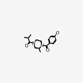 CC(C)C(=O)N1CCN(C(=O)c2ccc(Cl)cc2)C(C)C1